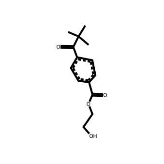 CC(C)(C)C(=O)c1ccc(C(=O)OCCO)cc1